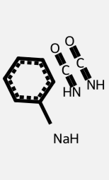 Cc1ccccc1.N=C=O.N=C=O.[NaH]